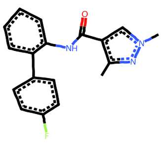 Cc1nn(C)cc1C(=O)Nc1ccccc1-c1ccc(F)cc1